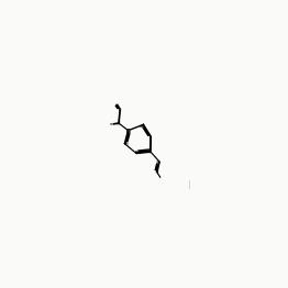 C=CC(O)c1ccc(C=CC(=O)O)cc1